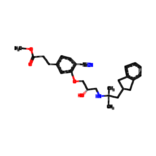 COC(=O)CCc1ccc(C#N)c(OC[C@@H](O)CNC(C)(C)CC2Cc3ccccc3C2)c1